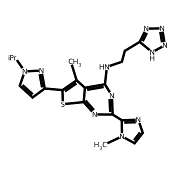 Cc1c(-c2ccn(C(C)C)n2)sc2nc(-c3nccn3C)nc(NCCc3nnn[nH]3)c12